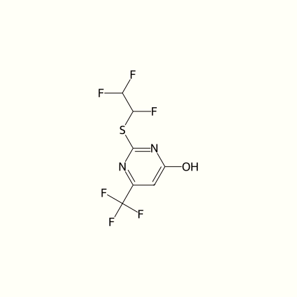 Oc1cc(C(F)(F)F)nc(SC(F)C(F)F)n1